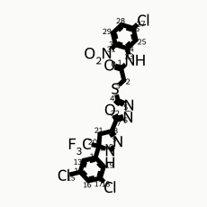 O=C(CSc1nnc(C2=NNC(c3cc(Cl)cc(Cl)c3)(C(F)(F)F)C2)o1)Nc1cc(Cl)ccc1[N+](=O)[O-]